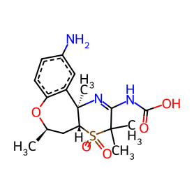 C[C@@H]1C[C@@H]2[C@](C)(N=C(NC(=O)O)C(C)(C)S2(=O)=O)c2cc(N)ccc2O1